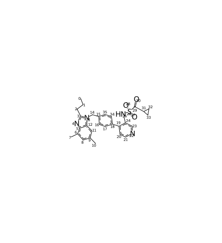 CCCc1nc2c(C)cc(C)cc2n1Cc1ccc(-c2ccncc2NS(=O)(=O)C(=O)C2CC2)cc1